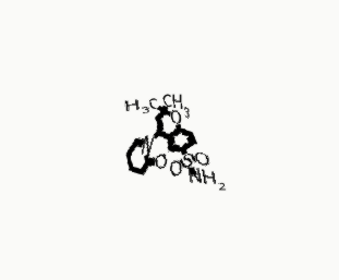 CC1(C)C=C(N2CCCCC2=O)c2cc(S(N)(=O)=O)ccc2O1